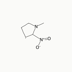 CN1CC[CH]C1[N+](=O)[O-]